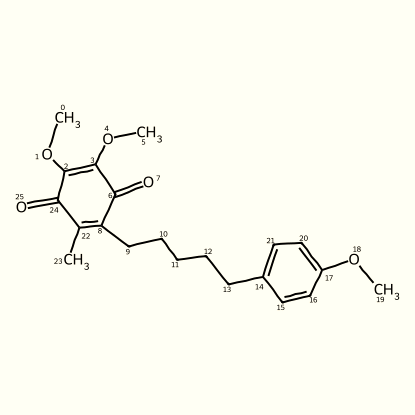 COC1=C(OC)C(=O)C(CCCCCc2ccc(OC)cc2)=C(C)C1=O